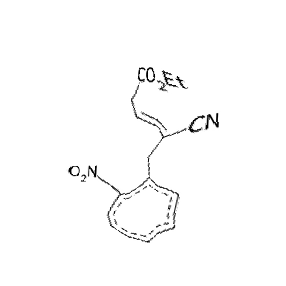 CCOC(=O)C=C(C#N)c1ccccc1[N+](=O)[O-]